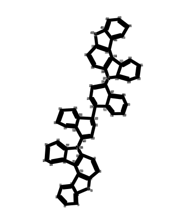 c1ccc2c(c1)sc1ccc3c(c4ccccc4n3-c3ccc(-c4ccc(-n5c6ccccc6c6c7c(ccc65)sc5ccccc57)c5ccccc45)c4ccccc34)c12